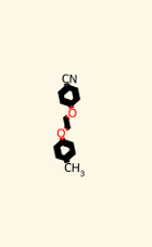 Cc1ccc(OCCOc2ccc(C#N)cc2)cc1